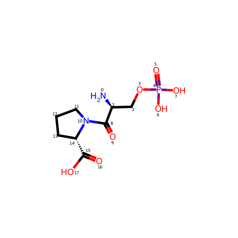 N[C@@H](COP(=O)(O)O)C(=O)N1CCC[C@H]1C(=O)O